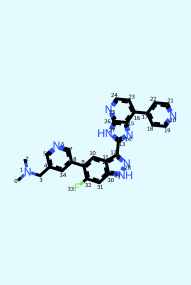 CN(C)Cc1cncc(-c2cc3c(-c4nc5c(-c6ccncc6)ccnc5[nH]4)n[nH]c3cc2F)c1